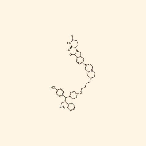 CCC(=C(c1ccc(O)cc1)c1ccc(OCCCCN2CCN3CCN(c4ccc5c(c4)CN(C4CCC(=O)NC4=O)C5=O)CC3C2)cc1)c1ccccc1